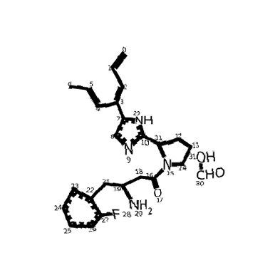 C=CC=C(C=CC)c1cnc(C2CCCN2C(=O)CC(N)Cc2ccccc2F)[nH]1.O=CO